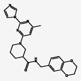 Cc1cc(N2CCCC(C(=O)NCc3ccc4c(c3)OCCO4)C2)nc(-n2ccnc2)n1